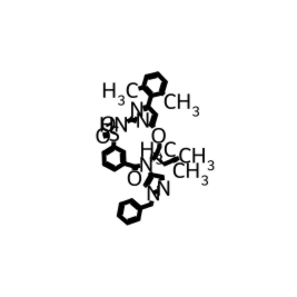 Cc1cccc(C)c1-c1cc2nc(n1)NS(=O)(=O)c1cccc(c1)C(=O)N(c1cnn(Cc3ccccc3)c1)[C@H](CC(C)(C)C)CO2